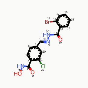 O=C(NO)c1ccc(/C=N/NC(=O)c2ccccc2Br)cc1Cl